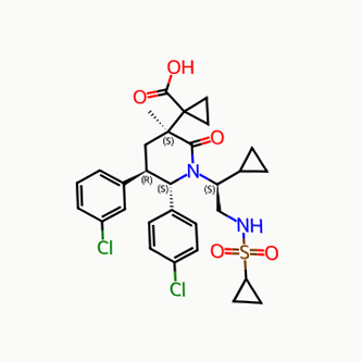 C[C@@]1(C2(C(=O)O)CC2)C[C@H](c2cccc(Cl)c2)[C@@H](c2ccc(Cl)cc2)N([C@H](CNS(=O)(=O)C2CC2)C2CC2)C1=O